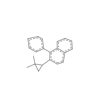 CC1(C)CC1c1ccc2ccccc2c1-c1ccccc1